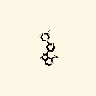 COc1nccc2[nH]nc(-c3ccnc(N4C[C@@H](C)O[C@@H](C)C4)c3)c12